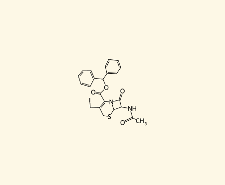 CC(=O)NC1C(=O)N2C(C(=O)OC(c3ccccc3)c3ccccc3)=C(CI)CSC12